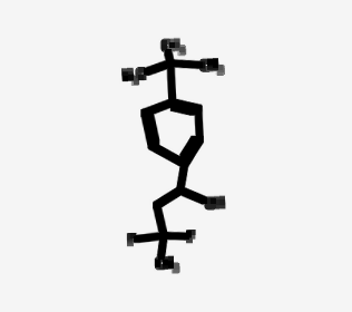 CC(F)(F)CC(O)c1ccc(C(C)(C)C)cc1